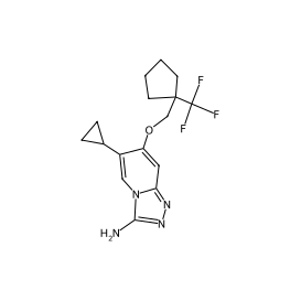 Nc1nnc2cc(OCC3(C(F)(F)F)CCCC3)c(C3CC3)cn12